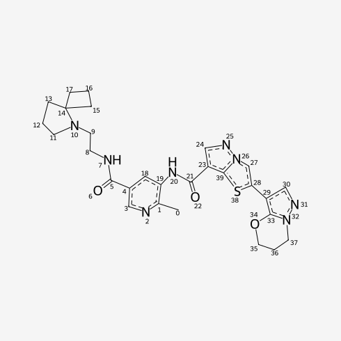 Cc1ncc(C(=O)NCCN2CCCC23CCC3)cc1NC(=O)c1cnn2cc(-c3cnn4c3OCCC4)sc12